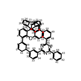 C1=CC(c2cccc3c2Oc2ccccc2C32c3ccccc3-c3ccccc32)=CC(c2cccc(-c3nc(-c4ccccc4)nc(-c4cccc(-c5ccccc5)c4)n3)c2)C1